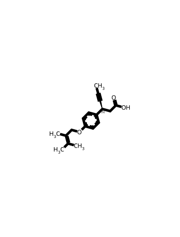 CC#C[C@@H](CC(=O)O)c1ccc(OCC(C)=C(C)C)cc1